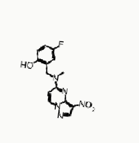 CN(Cc1cc(F)ccc1O)c1ccn2ncc([N+](=O)[O-])c2n1